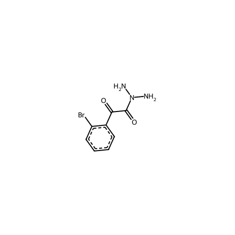 NN(N)C(=O)C(=O)c1ccccc1Br